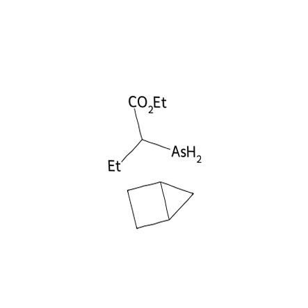 C1CC2CC12.CCOC(=O)C([AsH2])CC